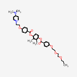 CCCOCCOCCOc1ccc(C(=O)Oc2ccc(OC(=O)c3ccc(OCC[n+]4ccc(N(C)C)cc4)cc3)c(C)c2C)cc1